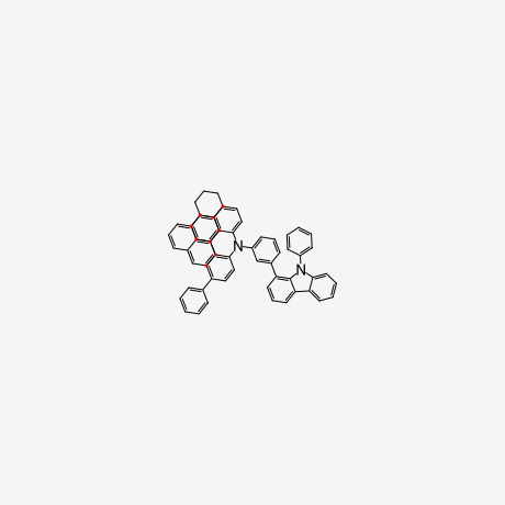 c1ccc(-c2ccc(N(c3cccc(-c4cccc5c6ccccc6n(-c6ccccc6)c45)c3)c3ccccc3-c3cccc4cccc(C5CCCCC5)c34)c(-c3ccccc3)c2)cc1